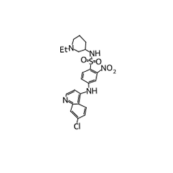 CCN1CCCC(NS(=O)(=O)c2ccc(Nc3ccnc4cc(Cl)ccc34)cc2[N+](=O)[O-])C1